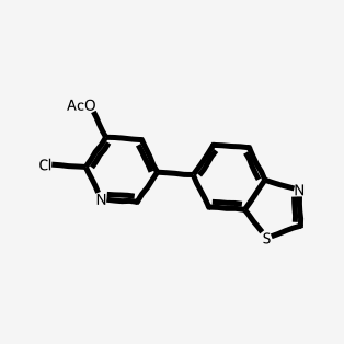 CC(=O)Oc1cc(-c2ccc3ncsc3c2)cnc1Cl